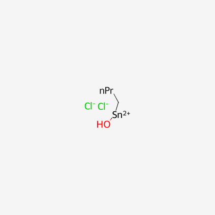 CCC[CH2][Sn+2][OH].[Cl-].[Cl-]